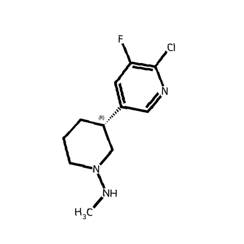 CNN1CCC[C@H](c2cnc(Cl)c(F)c2)C1